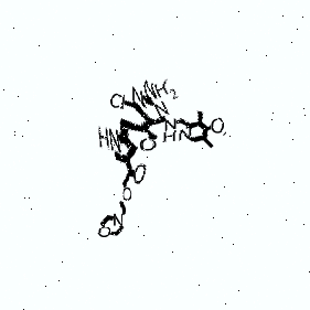 COc1c(C)cnc(CNc2nc(N)nc(Cl)c2/C(C=O)=C/c2cc(C(=O)COCCN3CCOCC3)c[nH]2)c1C